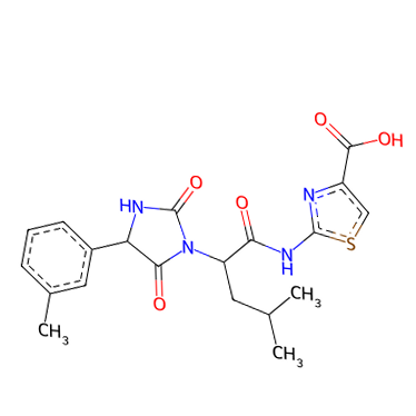 Cc1cccc(C2NC(=O)N(C(CC(C)C)C(=O)Nc3nc(C(=O)O)cs3)C2=O)c1